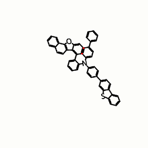 c1ccc(-c2ccc(N(c3ccc(-c4ccc5c(c4)sc4ccccc45)cc3)c3ccccc3-c3cccc4oc5c6ccccc6ccc5c34)cc2)cc1